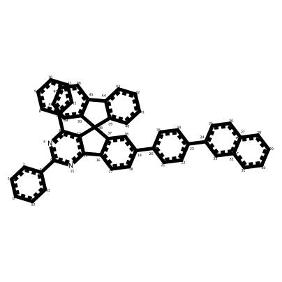 c1ccc(-c2nc(-c3ccccc3)c3c(n2)-c2ccc(-c4ccc(-c5ccc6ccccc6c5)cc4)cc2C32c3ccccc3-c3ccccc32)cc1